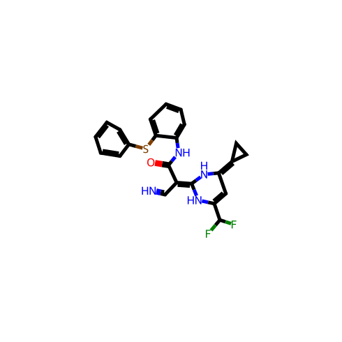 N=C/C(C(=O)Nc1ccccc1Sc1ccccc1)=C1\NC(C(F)F)=CC(=C2CC2)N1